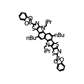 CCCCc1cc2c(cc(CCCC)c3c4sc5nc(B6Oc7ccccc7O6)sc5c4n(CC(C)C)c23)c2c1c1sc(B3Oc4ccccc4O3)nc1n2CC(C)C